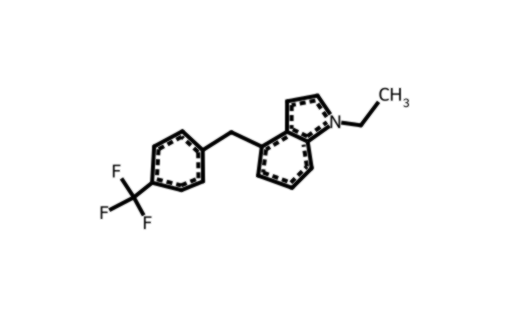 CCn1ccc2c(Cc3ccc(C(F)(F)F)cc3)cccc21